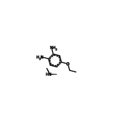 CCOc1ccc(N)c(N)c1.CNC